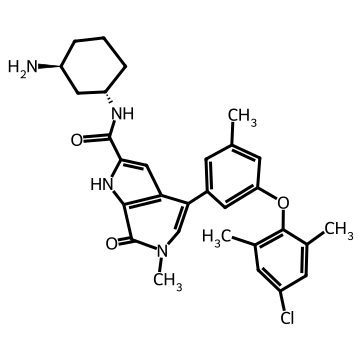 Cc1cc(Oc2c(C)cc(Cl)cc2C)cc(-c2cn(C)c(=O)c3[nH]c(C(=O)N[C@H]4CCC[C@H](N)C4)cc23)c1